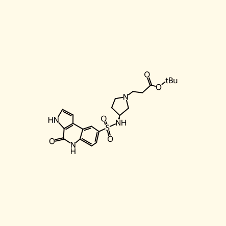 CC(C)(C)OC(=O)CCN1CC[C@H](NS(=O)(=O)c2ccc3[nH]c(=O)c4[nH]ccc4c3c2)C1